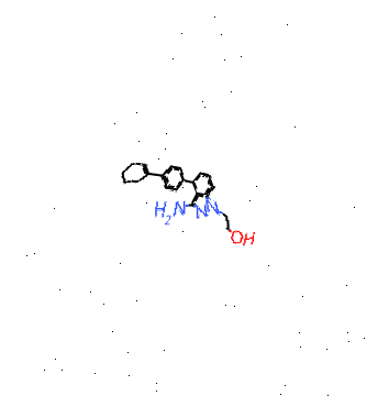 Nc1nn(CCO)c2cccc(-c3ccc(C4=CCCCC4)cc3)c12